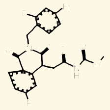 COC(=O)NC(=O)CC1C(=O)N(Cc2ccc(Br)cc2F)C(=O)c2ccc(F)cc21